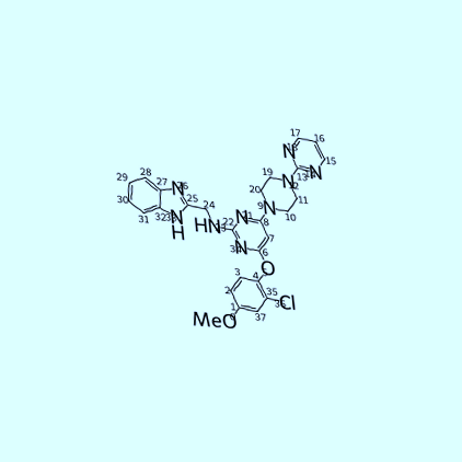 COc1ccc(Oc2cc(N3CCN(c4ncccn4)CC3)nc(NCc3nc4ccccc4[nH]3)n2)c(Cl)c1